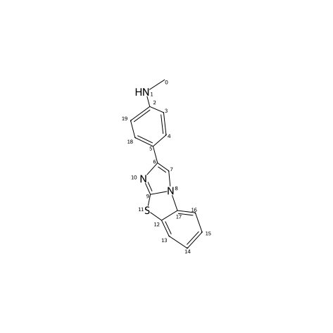 CNc1ccc(-c2cn3c(n2)sc2ccccc23)cc1